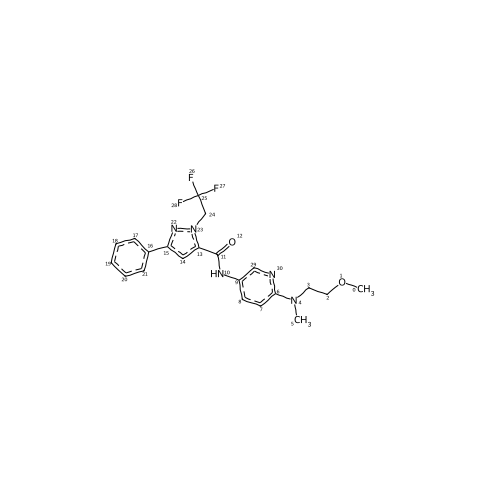 COCCN(C)c1ccc(NC(=O)c2cc(-c3ccccc3)nn2CC(F)(F)F)cn1